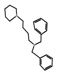 [CH]1CCN(CCCCN(Cc2ccccc2)Cc2ccccc2)CC1